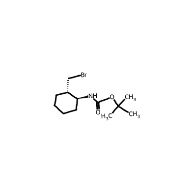 CC(C)(C)OC(=O)N[C@H]1CCCC[C@@H]1CBr